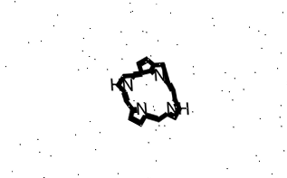 C1=Cc2cc3ccc(cc4nc5c(c6[nH]c(cc1n2)CC6)C=CC5C4)[nH]3